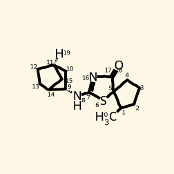 CC1CCCC12SC(N[C@H]1C[C@@H]3CCC1C3)=NC2=O